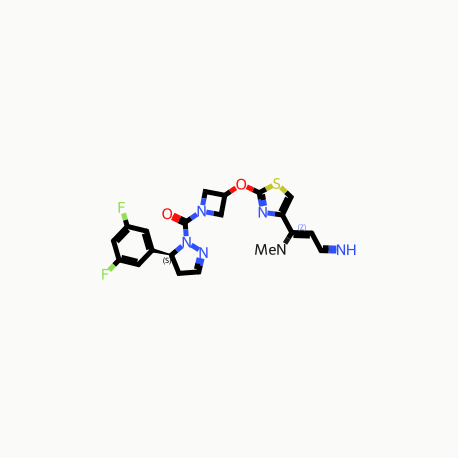 CN/C(=C\C=N)c1csc(OC2CN(C(=O)N3N=CC[C@H]3c3cc(F)cc(F)c3)C2)n1